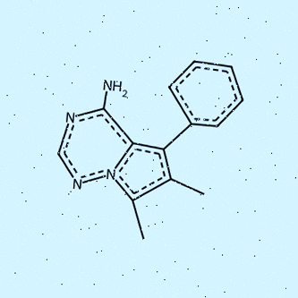 Cc1c(-c2ccccc2)c2c(N)ncnn2c1C